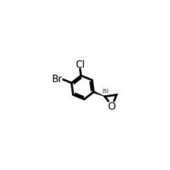 Clc1cc([C@H]2CO2)ccc1Br